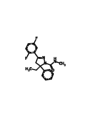 CCC1(c2ccccc2)CC(c2cc(F)ccc2F)=NN1C(=O)NC